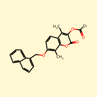 CCC(=O)Oc1c(C)c2ccc(OCc3cccc4ccccc34)c(C)c2oc1=O